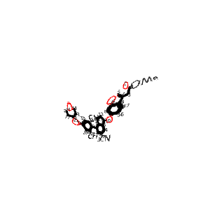 COC(=O)CC1COc2cc(O[C@@H]3CCc4c(-c5c(C)cc(OC6CCOCC6)cc5C)cc(C#N)cc43)ccc21